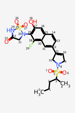 CCCC(C)S(=O)(=O)N1CC=C(c2ccc3cc(O)c(N4CC(=O)NS4(=O)=O)c(F)c3c2)C1